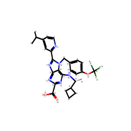 CC(C)c1ccnc(-c2nc3nc(C(=O)O)nc(N[C@H](C)C4CCC4)c3n2Cc2ccc(OC(F)(F)F)cc2)c1